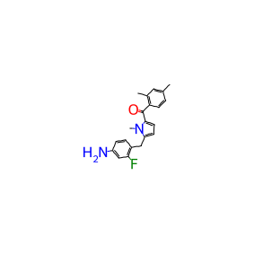 Cc1ccc(C(=O)c2ccc(Cc3ccc(N)cc3F)n2C)c(C)c1